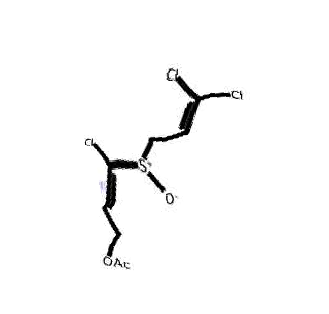 CC(=O)OC/C=C(/Cl)[S+]([O-])CC=C(Cl)Cl